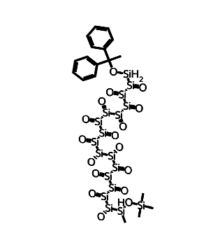 C[SiH](O[Si](C)(C)C)[Si](=O)[Si](=O)[Si](=O)[Si](=O)[Si](=O)[Si](=O)[Si](=O)[Si](=O)[Si](=O)[Si](=O)[Si](=O)[Si](=O)[Si](=O)[Si](=O)[Si](=O)[SiH2]OC(C)(c1ccccc1)c1ccccc1